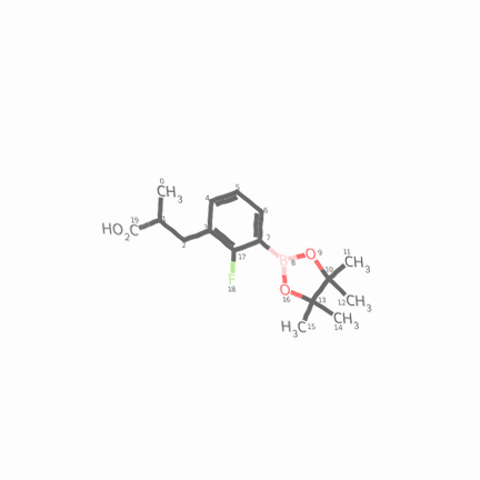 CC(Cc1cccc(B2OC(C)(C)C(C)(C)O2)c1F)C(=O)O